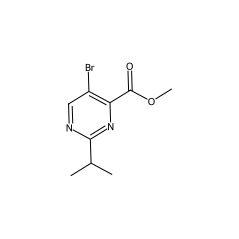 COC(=O)c1nc(C(C)C)ncc1Br